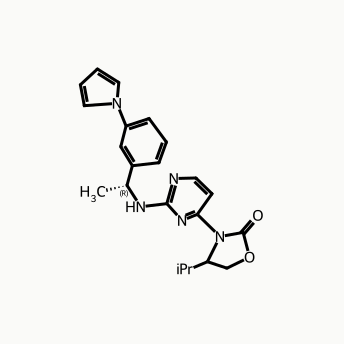 CC(C)C1COC(=O)N1c1ccnc(N[C@H](C)c2cccc(-n3cccc3)c2)n1